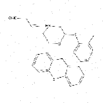 C=CCC=O.Cc1ccccc1SC1CNCCO1.c1ccc2c(c1)Cc1ccccc1S2